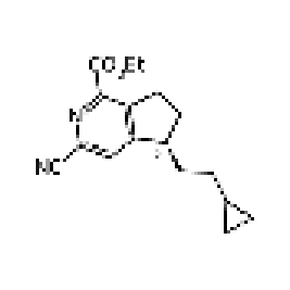 CCOC(=O)c1nc(C#N)cc2c1CC[C@H]2CCC1CC1